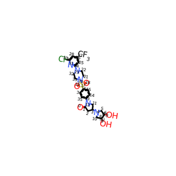 O=C1CC(N2C[C@@H](O)[C@@H](O)C2)CN1c1ccc(S(=O)(=O)N2CCN(c3cc(C(F)(F)F)cc(Cl)n3)CC2)cc1